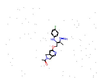 CC(=O)N1Cc2cnc(OC/C(Nc3ccc(F)cc3)=C(\C)N=N)cc2C1